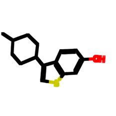 CC1CCC(c2csc3cc(O)ccc23)CC1